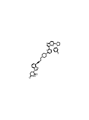 O=C1CCC(n2cnc3c(C#CCCN4CCN(c5cccc(-c6cnc7ccc(N8CCC[C@@H]8c8cccc(F)c8)nn67)n5)CC4)cccc32)C(=O)N1